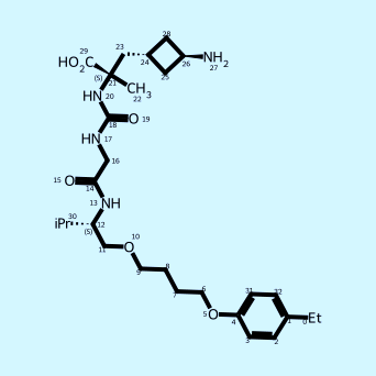 CCc1ccc(OCCCCOC[C@@H](NC(=O)CNC(=O)N[C@@](C)(C[C@H]2C[C@H](N)C2)C(=O)O)C(C)C)cc1